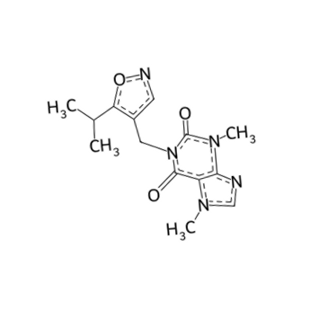 CC(C)c1oncc1Cn1c(=O)c2c(ncn2C)n(C)c1=O